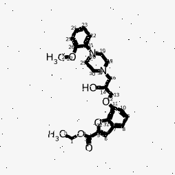 CCOC(=O)c1cc2cccc(OCC(O)CN3CCN(c4ccccc4OC)CC3)c2o1